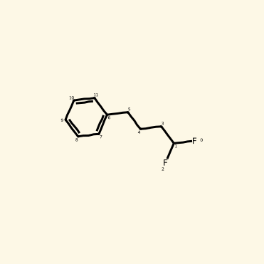 FC(F)CCCc1ccccc1